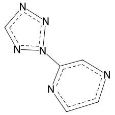 c1cnc(-n2ncnn2)cn1